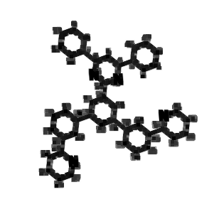 c1ccc(-c2cc(-c3ccccc3)nc(-c3cc(-c4cccc(-c5ccccn5)c4)cc(-c4cccc(-c5ccccn5)c4)c3)n2)cc1